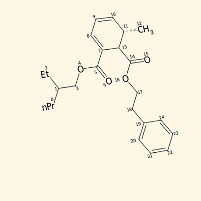 CCCC(CC)COC(=O)C1=CC=C[C@H](C)C1C(=O)OCCc1ccccc1